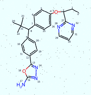 CCC(Oc1ccc(C(c2ccc(-c3nnc(N)o3)cc2)C(C)(C)C)cc1)c1ncccn1